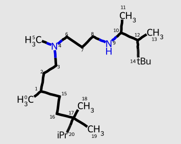 CC(CCN(C)CCCNC(C)C(C)C(C)(C)C)CCC(C)(C)C(C)C